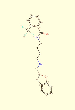 O=C(NCCCCNCC1Cc2ccccc2O1)c1ccccc1C(F)(F)F